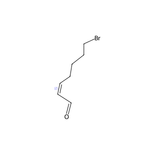 O=C/C=C\CCCCBr